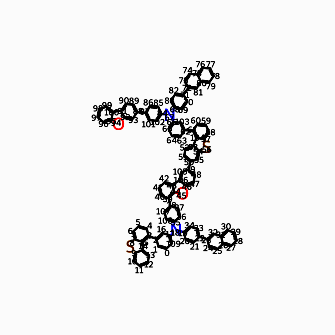 c1cc(-c2cccc3sc4ccccc4c23)cc(N(c2ccc(-c3ccc4ccccc4c3)cc2)c2ccc(-c3cccc4c3oc3ccc(-c5ccc6c(c5)sc5cccc(-c7cccc(N(c8ccc(-c9ccc%10ccccc%10c9)cc8)c8ccc(-c9ccc%10c(c9)oc9ccccc9%10)cc8)c7)c56)cc34)cc2)c1